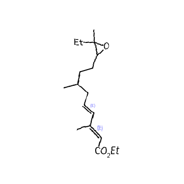 CCOC(=O)/C=C(C)/C=C/CC(C)CCC1OC1(C)CC